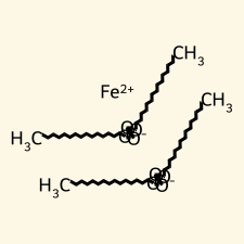 CCCCCCCCCCCCCCCCOP(=O)([O-])OCCCCCCCCCCCCCCCC.CCCCCCCCCCCCCCCCOP(=O)([O-])OCCCCCCCCCCCCCCCC.[Fe+2]